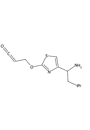 CC(C)CC(N)c1csc(OCC=C=O)n1